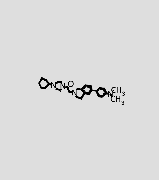 CN(C)c1ccc(-c2ccc3c(c2)CCN(CC(=O)N2CCN(C4CCCCC4)CC2)C3)cc1